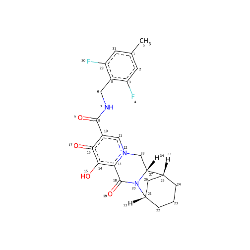 Cc1cc(F)c(CNC(=O)c2cn3c(c(O)c2=O)C(=O)N2[C@H]4CCC[C@H](C4)[C@H]2C3)c(F)c1